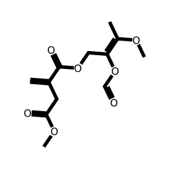 C=C(CC(=O)OC)C(=O)OC/C(OC=O)=C(\C)OC